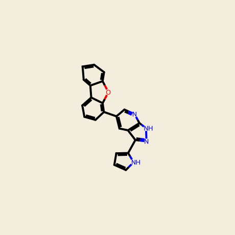 c1c[nH]c(-c2n[nH]c3ncc(-c4cccc5c4oc4ccccc45)cc23)c1